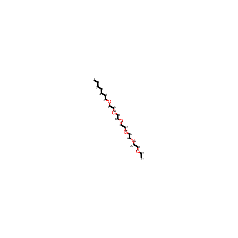 CCCCCCCOCCOCCOCCOCCOCCOCC